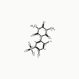 Cn1c(=S)n(C)c(=O)n(-c2cc(S(=O)(=O)Cl)c(Cl)cc2F)c1=O